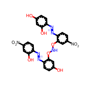 O=[N+]([O-])c1ccc(/N=N/c2ccc(O)cc2ONOc2cc([N+](=O)[O-])ccc2/N=N/c2ccc(O)cc2O)c(O)c1